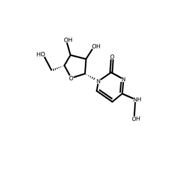 O=c1nc(NO)ccn1[C@@H]1O[C@H](CO)C(O)C1O